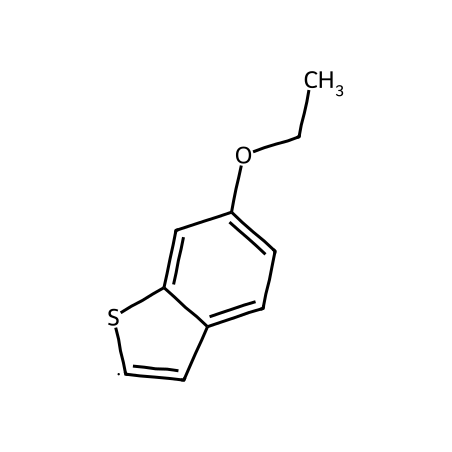 CCOc1ccc2c[c]sc2c1